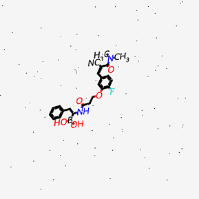 CN(C)C(=O)C(C#N)=Cc1ccc(F)c(OCCC(=O)NC(Cc2ccccc2)B(O)O)c1